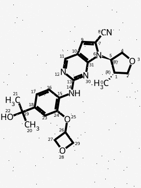 C[C@H]1COC[C@@H]1n1c(C#N)cc2cnc(Nc3ccc(C(C)(C)O)cc3OC3COC3)nc21